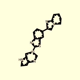 c1ccn2cc(-c3ccc4nc(-[n+]5cnc6cc[nH]c6c5)sc4c3)nc2c1